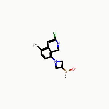 CC(C)c1ccc(N2CC([S@@+](C)[O-])C2)c2cnc(Cl)cc12